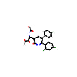 C[C@H](O)C(=O)Nc1c(C(=O)C(C)(C)C)oc2nc(-c3ccc(Br)cc3Cl)c(-c3ccc(Cl)cc3)cc12